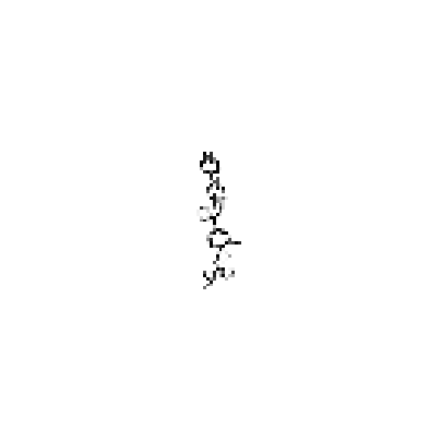 CCOC(=O)COc1ccc(C(=O)CN2CCN(c3ccncc3)CC2)cc1C